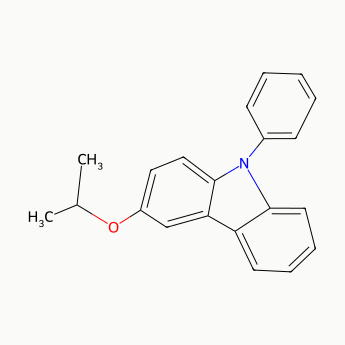 CC(C)Oc1ccc2c(c1)c1ccccc1n2-c1ccccc1